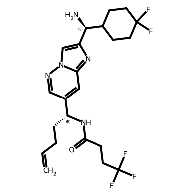 C=CCC[C@@H](NC(=O)CCC(F)(F)F)c1cnn2cc([C@@H](N)C3CCC(F)(F)CC3)nc2c1